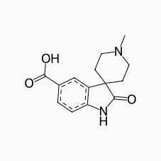 CN1CCC2(CC1)C(=O)Nc1ccc(C(=O)O)cc12